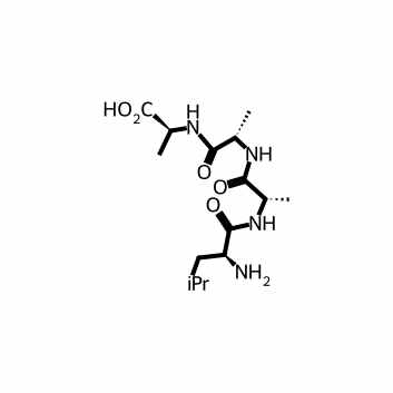 CC(C)C[C@H](N)C(=O)N[C@@H](C)C(=O)N[C@@H](C)C(=O)N[C@@H](C)C(=O)O